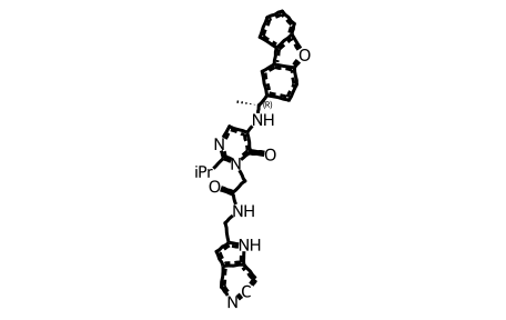 CC(C)c1ncc(N[C@H](C)c2ccc3oc4ccccc4c3c2)c(=O)n1CC(=O)NCc1cc2cnccc2[nH]1